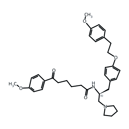 COc1ccc(CCOc2ccc(C[C@@H](CN3CCCC3)NC(=O)CCCCC(=O)c3ccc(OC)cc3)cc2)cc1